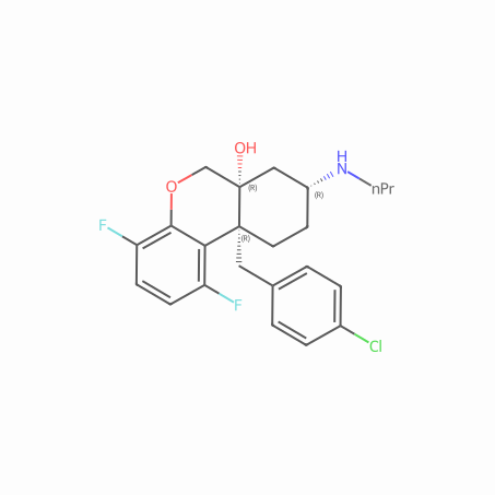 CCCN[C@@H]1CC[C@@]2(Cc3ccc(Cl)cc3)c3c(F)ccc(F)c3OC[C@@]2(O)C1